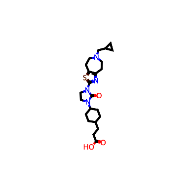 O=C(O)CCC1CCC(N2CCN(c3nc4c(s3)CCN(CC3CC3)CC4)C2=O)CC1